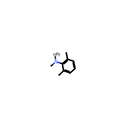 CCCN(C)c1c(C)cccc1C